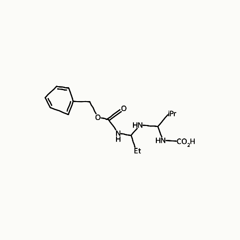 CCC(NC(=O)OCc1ccccc1)NC(NC(=O)O)C(C)C